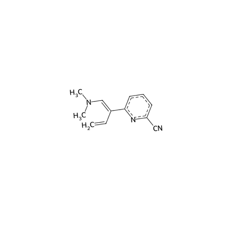 C=C/C(=C\N(C)C)c1cccc(C#N)n1